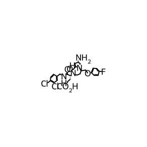 N[C@@H]1C[C@H]2C(=O)N([C@H](CCC(=O)O)C(=O)NCc3ccc(Cl)c(Cl)c3)CCC(COc3ccc(F)cc3)N2C1